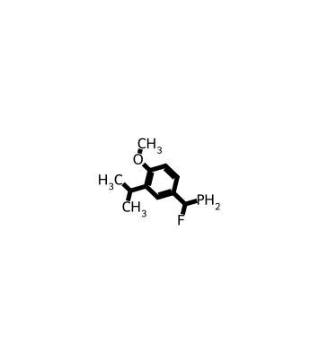 COc1ccc(C(F)P)cc1C(C)C